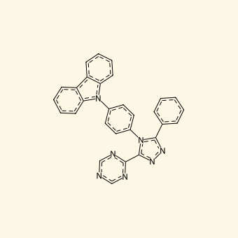 c1ccc(-c2nnc(-c3ncncn3)n2-c2ccc(-n3c4ccccc4c4ccccc43)cc2)cc1